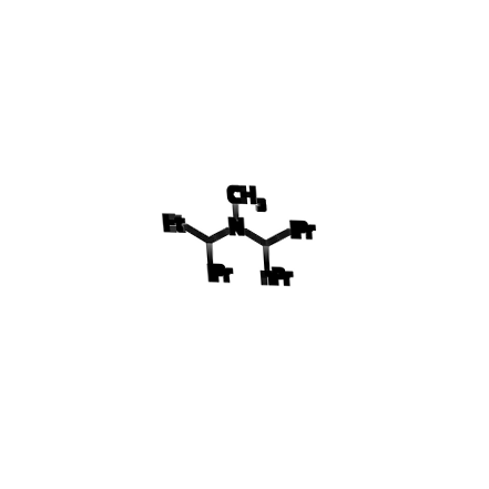 CCCC(C(C)C)N(C)C(CC)C(C)C